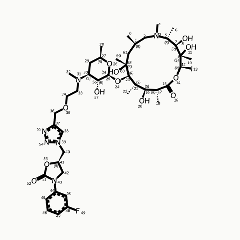 C[C@H]1CN(C)[C@H](C)[C@@H](O)[C@](C)(O)[C@@H](I)OC(=O)[C@H](C)[C@@H](O)[C@H](C)[C@@H](O[C@@H]2O[C@H](C)C[C@H](N(C)CCOCc3cn(C[C@H]4CN(c5cccc(F)c5)C(=O)O4)nn3)[C@H]2O)[C@](C)(O)C1